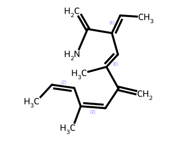 C=C(/C=C(C)\C=C/C)/C(C)=C/C(=C\C)C(=C)N